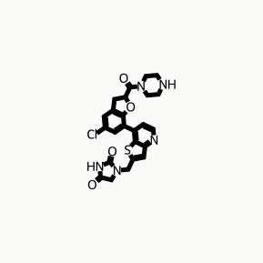 O=C1CN(Cc2cc3nccc(-c4cc(Cl)cc5c4OC(C(=O)N4CCNCC4)C5)c3s2)C(=O)N1